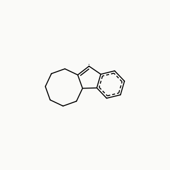 [C]1=C2CCCCCCC2c2ccccc21